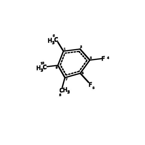 Cc1cc(F)c(F)c(C)c1C